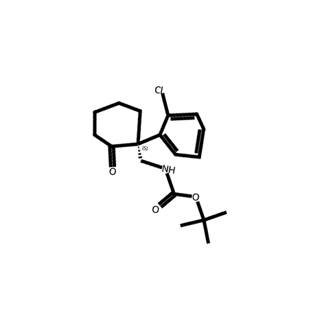 CC(C)(C)OC(=O)NC[C@@]1(c2ccccc2Cl)CCCCC1=O